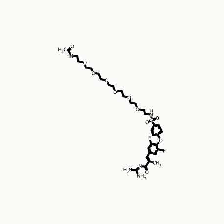 CC(=O)NCCOCCOCCOCCOCCOCCOCCNS(=O)(=O)c1ccc(Oc2c(F)cc(/C=C(\C)C(=O)N=C(N)N)cc2F)cc1